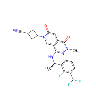 C[C@@H](Nc1nn(C)c(=O)c2cc(=O)n(C3CC(C#N)C3)cc12)c1cccc(C(F)F)c1F